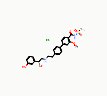 CC(C)Oc1cc(-c2ccc(CCNC[C@H](O)c3cccc(O)c3)cc2)ccc1C(=O)NS(C)(=O)=O.Cl